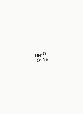 O=[NH+][O-].[Ne]